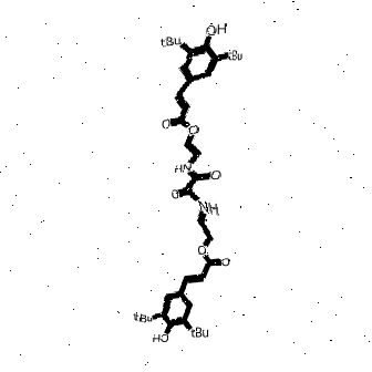 CC(C)(C)C1=CC(C=CC(=O)OCCNC(=O)C(=O)NCCOC(=O)C=CC2C=C(C(C)(C)C)C(O)=C(C(C)(C)C)C2)CC(C(C)(C)C)=C1O